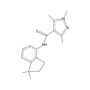 Cc1nn(C)c(C)c1C(=S)Nc1cccc2c1CCC2(C)C